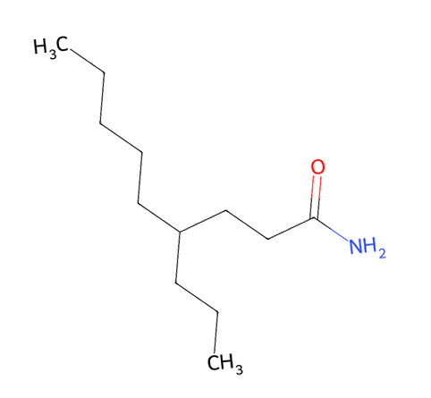 CCCCCC(CCC)CCC(N)=O